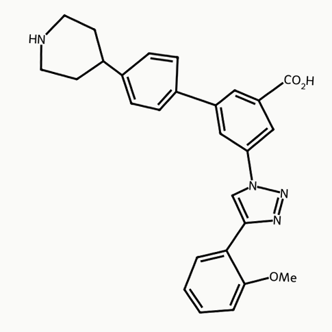 COc1ccccc1-c1cn(-c2cc(C(=O)O)cc(-c3ccc(C4CCNCC4)cc3)c2)nn1